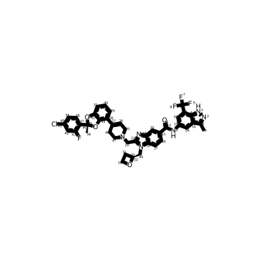 Cc1n[nH]c2c(C(F)(F)F)cc(NC(=O)c3ccc4c(c3)nc(CN3CC=C(c5cccc6c5O[C@](C)(c5ccc(Cl)cc5F)O6)CC3)n4C[C@@H]3CCO3)cc12